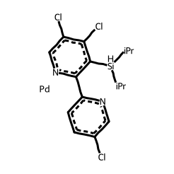 CC(C)[SiH](c1c(-c2ccc(Cl)cn2)ncc(Cl)c1Cl)C(C)C.[Pd]